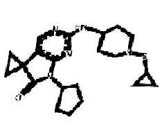 O=C1N(C2CCCC2)c2nc(NC3CCN(SC4CC4)CC3)ncc2C12CC2